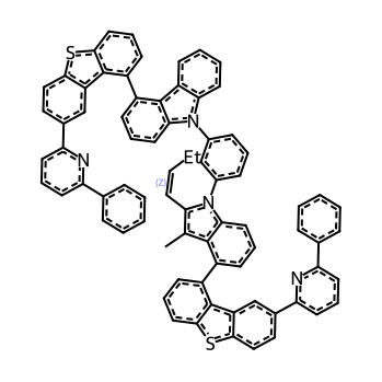 CC/C=C\c1c(C)c2c(-c3cccc4sc5ccc(-c6cccc(-c7ccccc7)n6)cc5c34)cccc2n1-c1cccc(-n2c3ccccc3c3c(-c4cccc5sc6ccc(-c7cccc(-c8ccccc8)n7)cc6c45)cccc32)c1